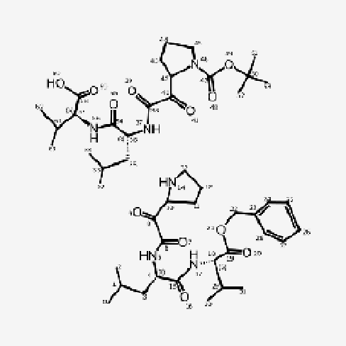 CC(C)C[C@@H](NC(=O)C(=O)C1CCCN1)C(=O)N[C@H](C(=O)OCc1ccccc1)C(C)C.CC(C)C[C@@H](NC(=O)C(=O)C1CCCN1C(=O)OC(C)(C)C)C(=O)N[C@H](C(=O)O)C(C)C